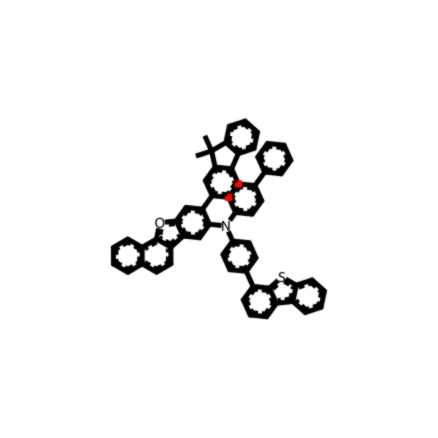 CC1(C)c2ccccc2-c2ccc(-c3cc4oc5c6ccccc6ccc5c4cc3N(c3ccc(-c4ccccc4)cc3)c3ccc(-c4cccc5c4sc4ccccc45)cc3)cc21